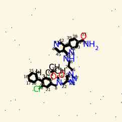 CC(C)(C)OC(=O)N(Cc1ccc(-c2ccccc2)c(Cl)c1)Cc1cn(CCCNc2nc3cc(C(N)=O)ccc3c3cnccc23)nn1